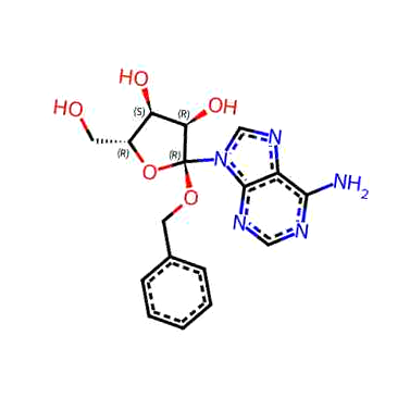 Nc1ncnc2c1ncn2[C@]1(OCc2ccccc2)O[C@H](CO)[C@@H](O)[C@H]1O